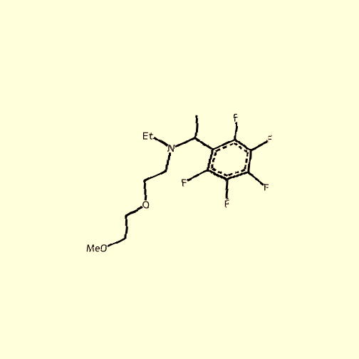 CCN(CCOCCOC)C(C)c1c(F)c(F)c(F)c(F)c1F